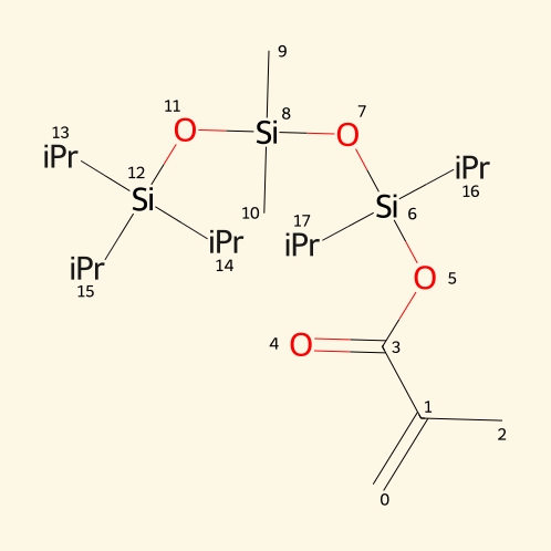 C=C(C)C(=O)O[Si](O[Si](C)(C)O[Si](C(C)C)(C(C)C)C(C)C)(C(C)C)C(C)C